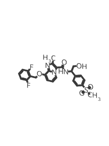 Cc1nc2c(OCc3c(F)cccc3F)cccn2c1C(=O)NC(CO)c1ccc(S(C)(=O)=O)cc1